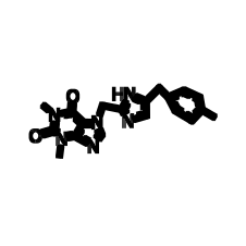 Cc1ccc(Cc2cnc(Cn3cnc4c3c(=O)n(C)c(=O)n4C)[nH]2)cc1